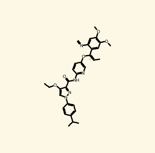 C=Nc1cc(OC)c(OC)cc1/C(=C\C)Oc1ccc(NC(=O)c2nn(-c3ccc(C(C)C)cc3)cc2OCC)nc1